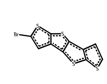 Brc1cc2c(s1)sc1c3ccsc3sc21